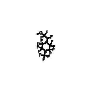 COC(F)(F)C(F)N1C(F)(F)C(F)(F)N(C(F)(F)F)C(F)(F)C1(F)F